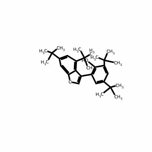 CC(C)(C)c1cc(-c2coc3cc(C(C)(C)C)cc(C(C)(C)C)c23)c(O)c(C(C)(C)C)c1